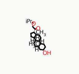 CC(C)OCC(=O)[C@H]1CC[C@H]2[C@@H]3CC[C@H]4C[C@H](O)CC[C@]4(C)[C@H]3CC[C@]12C